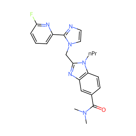 CCCn1c(Cn2ccnc2-c2cccc(F)n2)nc2cc(C(=O)N(C)C)ccc21